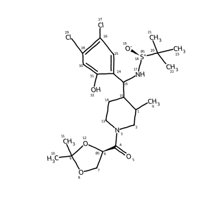 CC1CN(C(=O)[C@H]2COC(C)(C)O2)CCC1C(N[S@@+]([O-])C(C)(C)C)c1cc(Cl)c(Cl)cc1O